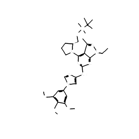 CCn1nc(C)c2c(N3CCC[C@H]3CO[Si](C)(C)C(C)(C)C)nc(Nc3cn(-c4cc(OC)c(OC)c(OC)c4)cn3)nc21